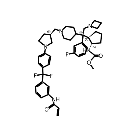 C=CC(=O)Nc1cccc(C(F)(F)c2ccc(N3CC[C@@H](CN4CCC([C@@](CN5CCC5)(c5cccc(F)c5)[C@H]5CCC[C@@H]5NC(=O)OC)CC4)C3)cc2)c1